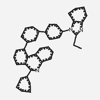 CCc1nc2ccccc2n1-c1ccc(-c2cccc(-c3cccc4c(-c5ccccc5)nc5ccccc5c34)c2)cc1